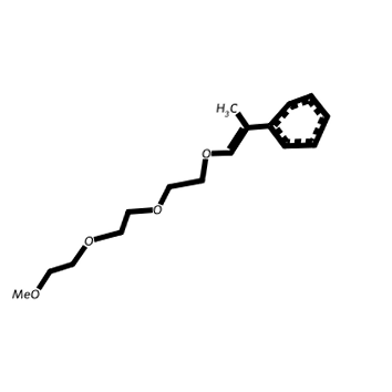 COCCOCCOCCOC=C(C)c1ccccc1